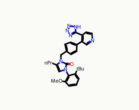 CCCc1cn(-c2c(OC)cccc2C(C)(C)C)c(=O)n1Cc1ccc(-c2cnccc2-c2nnn[nH]2)cc1